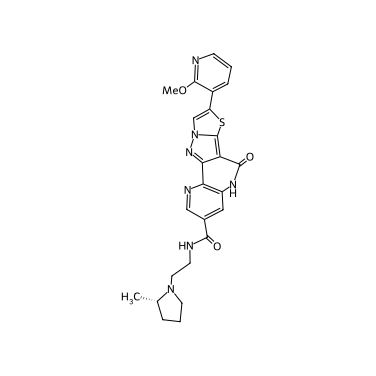 COc1ncccc1-c1cn2nc3c4ncc(C(=O)NCCN5CCC[C@@H]5C)cc4[nH]c(=O)c3c2s1